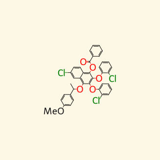 COc1ccc(C(C)Oc2c(Oc3ccccc3Cl)c(Oc3ccccc3Cl)c(OC(=O)c3ccccc3)c3ccc(Cl)cc23)cc1